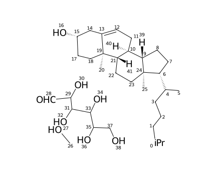 CC(C)CCCC(C)[C@H]1CC[C@H]2[C@@H]3CC=C4C[C@@H](O)CC[C@]4(C)[C@H]3CC[C@]12C.CO.O=CC(O)C(O)C(O)C(O)CO